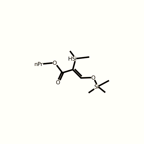 CCCOC(=O)C(=CO[Si](C)(C)C)[SiH](C)C